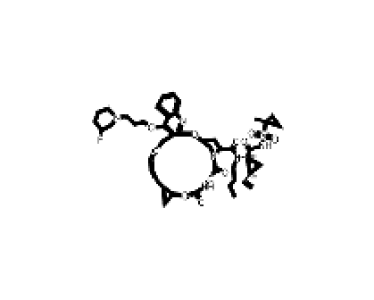 C=C[C@@H]1C[C@@]1(C(=O)NS(=O)(=O)C1(C)CC1)N(CCCC)C(=O)C1CC2CN1C(=O)CNC(=O)OC1CC1CCCCCc1c(nc3ccccc3c1OCCCN1CCCC(F)C1)O2